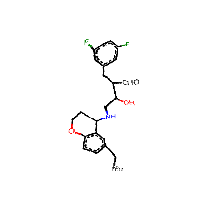 CC(C)(C)Cc1ccc2c(c1)C(NCC(O)C(C=O)Cc1cc(F)cc(F)c1)CCO2